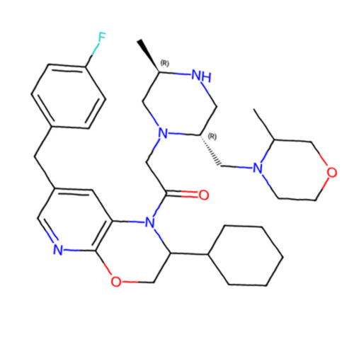 CC1COCCN1C[C@H]1CN[C@H](C)CN1CC(=O)N1c2cc(Cc3ccc(F)cc3)cnc2OCC1C1CCCCC1